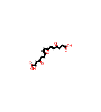 O=C(O)CCC(=O)C=Cc1ccc(C=CC(=O)CCC(=O)O)o1